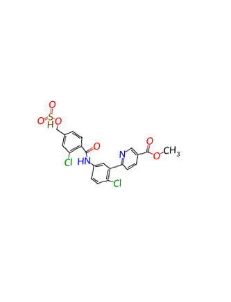 COC(=O)c1ccc(-c2cc(NC(=O)c3ccc(CO[SH](=O)=O)cc3Cl)ccc2Cl)nc1